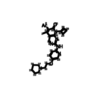 CC(=O)c1c(C)c2cnc(Nc3ccc(OCCN4CCCCC4)cn3)nc2n(C23CC(C2)C3)c1=O